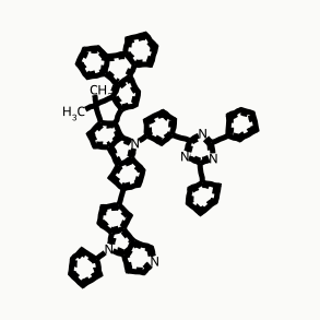 CC1(C)c2ccc3c4cc(-c5ccc6c(c5)c5cnccc5n6-c5ccccc5)ccc4n(-c4cccc(-c5nc(-c6ccccc6)nc(-c6ccccc6)n5)c4)c3c2-c2ccc3c4ccccc4c4ccccc4c3c21